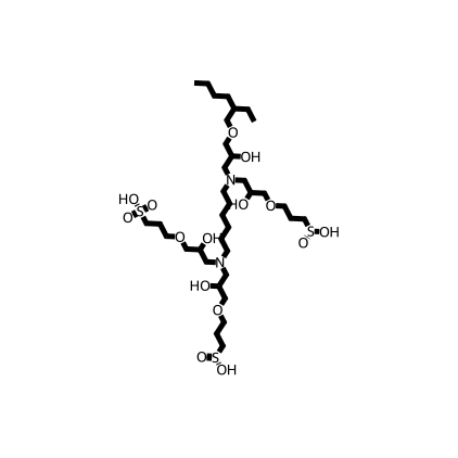 CCCCC(CC)COCC(O)CN(CCCCCCN(CC(O)COCCCS(=O)O)CC(O)COCCCS(=O)(=O)O)CC(O)COCCCS(=O)O